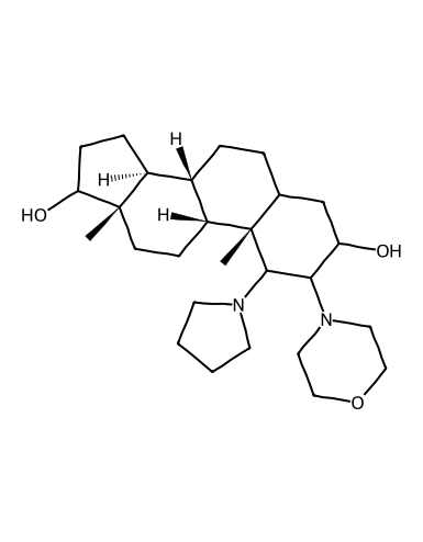 C[C@]12C(CC[C@@H]3[C@H]1CC[C@]1(C)C(O)CC[C@@H]31)CC(O)C(N1CCOCC1)C2N1CCCC1